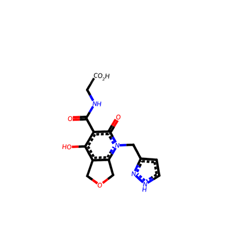 O=C(O)CNC(=O)c1c(O)c2c(n(Cc3cc[nH]n3)c1=O)COC2